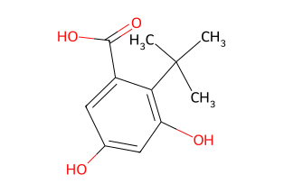 CC(C)(C)c1c(O)cc(O)cc1C(=O)O